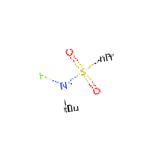 CCCS(=O)(=O)[N+](F)C(C)(C)C